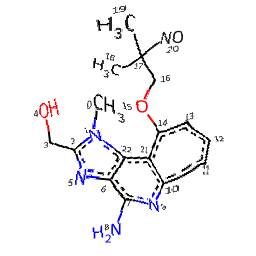 Cn1c(CO)nc2c(N)nc3cccc(OCC(C)(C)N=O)c3c21